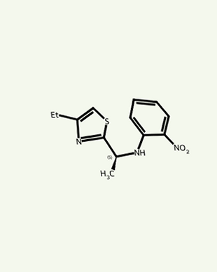 CCc1csc([C@H](C)Nc2ccccc2[N+](=O)[O-])n1